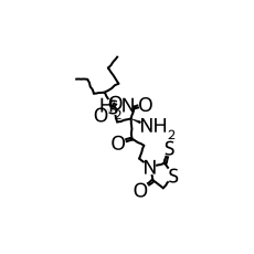 CCCC(CCC)S(=O)(=O)C[C@](N)(C(N)=O)C(=O)CCN1C(=O)CSC1=S